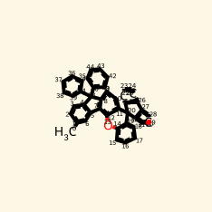 Cc1ccc2c(c1)-c1c(ccc3c1Oc1ccccc1C31c3ccccc3-c3ccccc31)C2(c1ccccc1)c1ccccc1